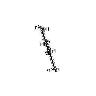 CCCC(O)CCCCCCCCCC(=O)NCCCCNC(=O)CCCCCCCCCC(O)CCC